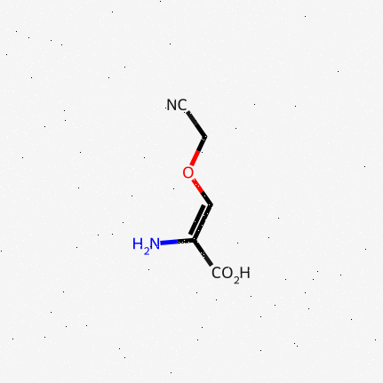 N#CCO/C=C(\N)C(=O)O